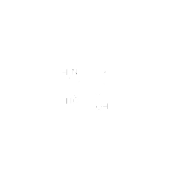 CC1(N)C=CC=C(O)C1O